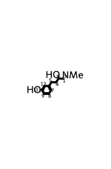 CNCC(O)CCc1cccc(O)c1